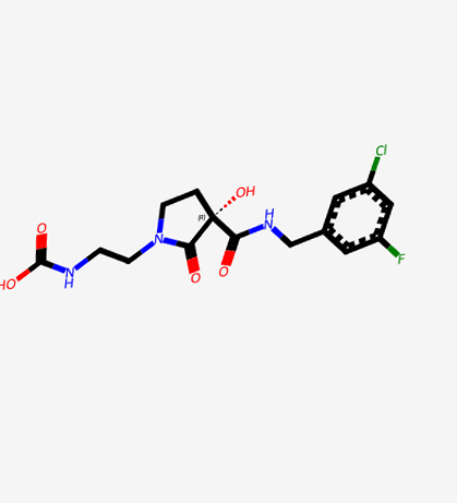 O=C(O)NCCN1CC[C@@](O)(C(=O)NCc2cc(F)cc(Cl)c2)C1=O